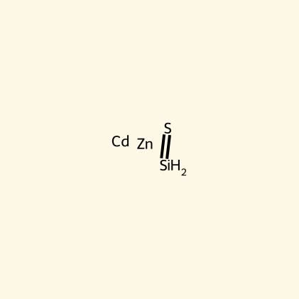 [Cd].[SiH2]=S.[Zn]